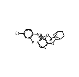 CCc1ccc(Nc2ncnc(O[C@H]3CC4CCC3N4C(=O)OC(C)(C)C)c2C)c(F)c1